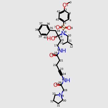 COc1ccc(S(=O)(=O)N(CC(C)C)C(O)(CCNC(=O)CCC#CNC(=O)CN2CCCC2)Cc2ccccc2)cc1